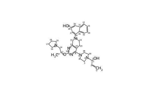 C=CC(O)N1CCN(c2nc(O[C@H](C)CN3CCCC3)nc3c2CCN(c2cc(O)cc4ccccc24)C3)CC1